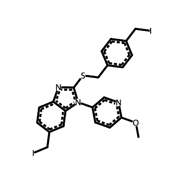 COc1ccc(-n2c(SCc3ccc(CI)cc3)nc3ccc(CI)cc32)cn1